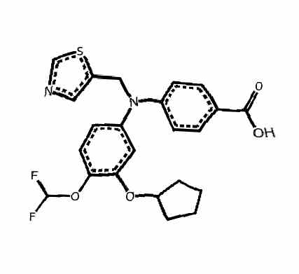 O=C(O)c1ccc(N(Cc2cncs2)c2ccc(OC(F)F)c(OC3CCCC3)c2)cc1